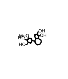 COc1cc(/C2=C/CCCCc3c2ccc(CO)c3O)cc(CO)c1CO